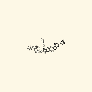 Cn1cc(-c2cnc3c(c2)CCC3Oc2nc3c(cc2Cl)nc(O[C@@H]2CO[C@H]4[C@@H]2OC[C@H]4O[Si](C)(C)C(C)(C)C)n3COCC[Si](C)(C)C)cn1